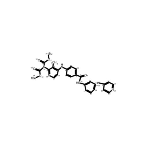 Cc1c(Nc2ccc(C(=O)Nc3cccc(Nc4ccncc4)c3)cc2)ccnc1N(C(=O)OC(C)(C)C)C(=O)OC(C)(C)C